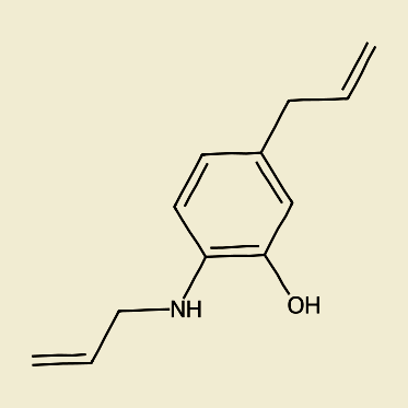 C=CCNc1ccc(CC=C)cc1O